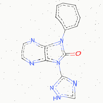 O=c1n(-c2ccccc2)c2nccnc2n1-c1nc[nH]n1